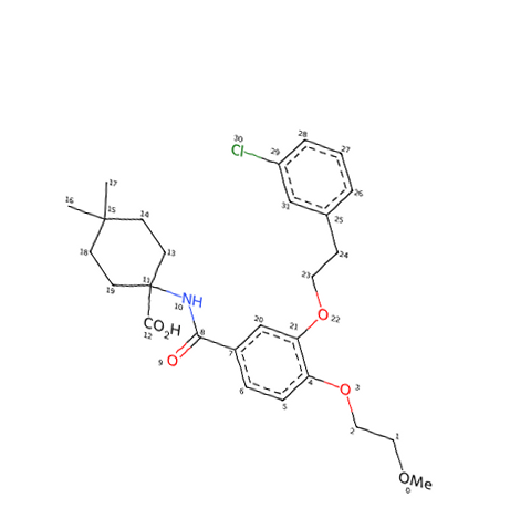 COCCOc1ccc(C(=O)NC2(C(=O)O)CCC(C)(C)CC2)cc1OCCc1cccc(Cl)c1